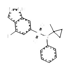 CC1(N(c2ccccc2)S(=O)(=O)c2cc(F)c3cn[nH]c3c2)CC1